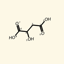 O=C(O)[CH]C(O)C(=O)O